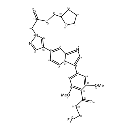 COc1cc(-c2cnc3cc(-c4cnn(CC(=O)OCC5CCCO5)c4)ccn23)cc(OC)c1C(=O)NCC(F)(F)F